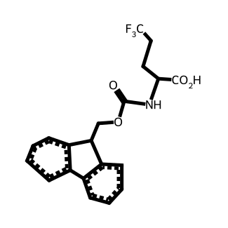 O=C(NC(CCC(F)(F)F)C(=O)O)OCC1c2ccccc2-c2ccccc21